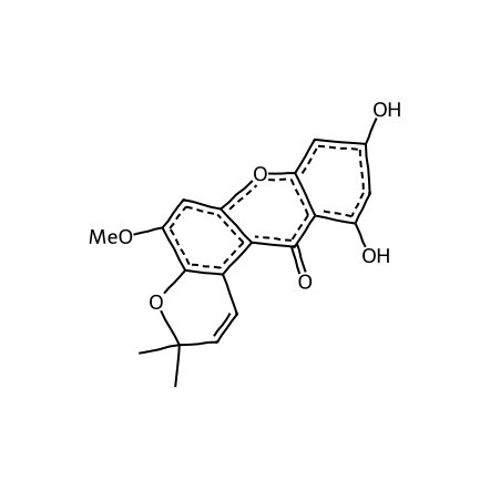 COc1cc2oc3cc(O)cc(O)c3c(=O)c2c2c1OC(C)(C)C=C2